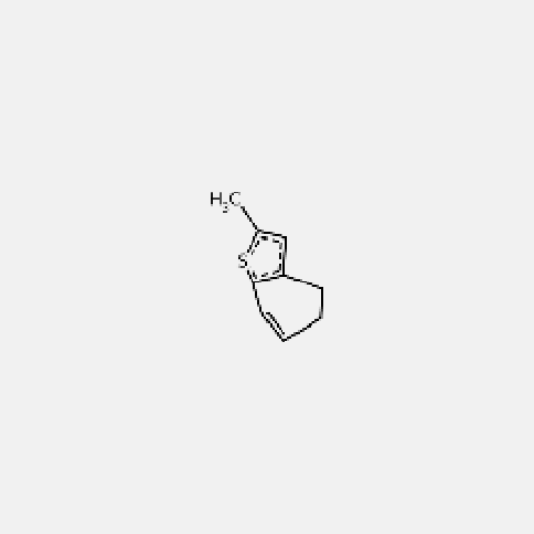 Cc1cc2c(s1)C=CCC2